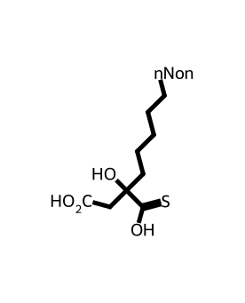 CCCCCCCCCCCCCCC(O)(CC(=O)O)C(O)=S